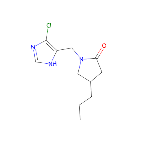 CCCC1CC(=O)N(Cc2[nH]cnc2Cl)C1